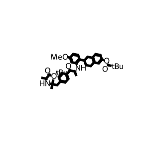 COc1ccc(C2CCc3cc(OC(=O)C(C)(C)C)ccc3C2)c(NC(C)C(=O)c2ccc(CC(C)(C)NC(C)C(=O)OC(C)(C)C)cc2)c1